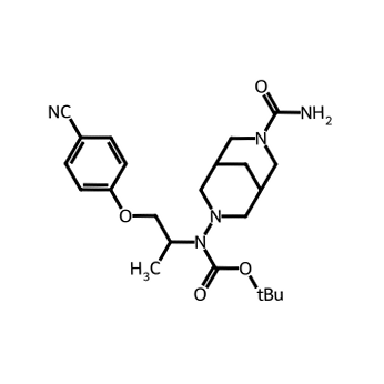 CC(COc1ccc(C#N)cc1)N(C(=O)OC(C)(C)C)N1CC2CC(CN(C(N)=O)C2)C1